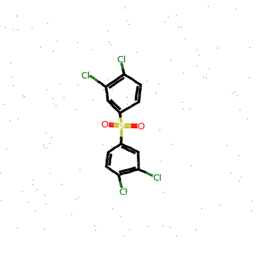 O=S(=O)(c1ccc(Cl)c(Cl)c1)c1ccc(Cl)c(Cl)c1